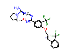 C=N/C(=N\OC[C@@H]1CCCN1C(=N)N)c1ccc(OC/C=C/c2ccccc2C(F)(F)F)c(C(F)(F)F)c1